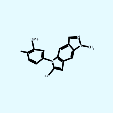 COc1cc(-n2c(C(C)C)cc3cc4c(cnn4C)cc32)ccc1F